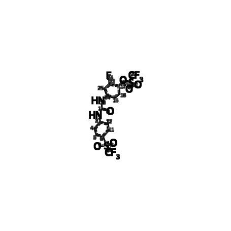 O=C(Nc1ccc(S(=O)(=O)C(F)(F)F)cc1)Nc1ccc(OS(=O)(=O)C(F)(F)F)c(F)c1